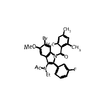 CCN(C(C)=O)c1c(-c2cccc(F)c2)n(C(=O)c2c(C)cc(C)cc2C)c2cc(Br)c(OC)cc12